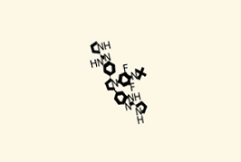 CC1(C)CN(c2c(F)cc(N3[C@@H](c4ccc5nc([C@@H]6CCCN6)[nH]c5c4)CC[C@@H]3c3ccc4nc([C@@H]5CCCN5)[nH]c4c3)cc2F)C1